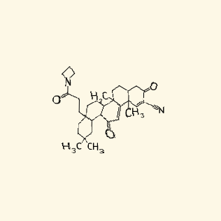 CC1(C)CCC2(CCC(=O)N3CCC3)CCC3C(C(=O)C=C4C5(C)C=C(C#N)C(=O)CC5CCC43C)C2C1